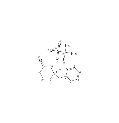 C[N+]1(Cc2ccccc2)CCCC(=O)C1.O=S(=O)([O-])C(F)(F)F